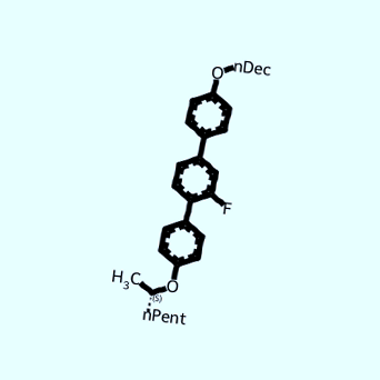 CCCCCCCCCCOc1ccc(-c2ccc(-c3ccc(O[C@@H](C)CCCCC)cc3)c(F)c2)cc1